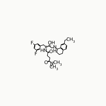 CCc1ccc2c(c1)C(NC[C@@H](O)[C@H](Cc1cc(F)cc(F)c1)NC(=O)CCC(=O)N(C)C)CCC2